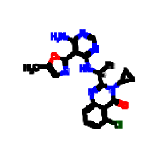 CC[C@H](Nc1ncnc(N)c1-c1ncc(C)o1)c1nc2cccc(Cl)c2c(=O)n1C1CC1